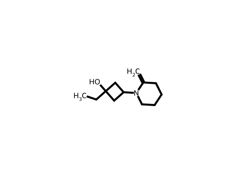 C=C1CCCCN1C1CC(O)(CC)C1